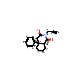 C#CCN1C(=O)CC2(c3ccccc3)CCCCC2C1=O